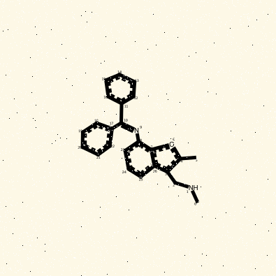 CNCc1c(C)oc2c(N=C(c3ccccc3)c3ccccc3)cccc12